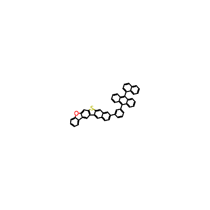 c1cc(-c2ccc3cc4c(cc3c2)sc2cc3oc5ccccc5c3cc24)cc(-c2c3ccccc3c(-c3cccc4ccccc34)c3ccccc23)c1